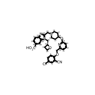 N#Cc1cc(Cl)ccc1OCc1cccc(OC2CCN(Cc3nc4ccc(C(=O)O)cc4n3C[C@@H]3CCO3)CC2)n1